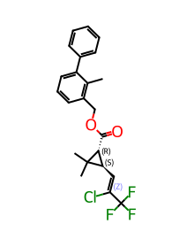 Cc1c(COC(=O)[C@@H]2[C@@H](/C=C(\Cl)C(F)(F)F)C2(C)C)cccc1-c1ccccc1